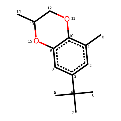 Cc1cc(C(C)(C)C)cc2c1OCC(C)O2